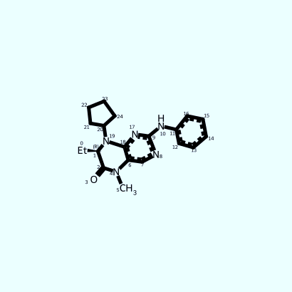 CC[C@@H]1C(=O)N(C)c2cnc(Nc3ccccc3)nc2N1C1CCCC1